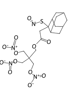 O=NSC1(CC(=O)OCC(CO[N+](=O)[O-])(CO[N+](=O)[O-])CO[N+](=O)[O-])C2CC3CC(C2)CC1C3